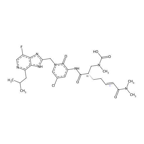 CC(C)Cc1ncc(F)c2nc(Cn3cc(Cl)cc(NC(=O)[C@@H](CC/C=C/C(=O)N(C)C)CN(C)C(=O)O)c3=O)[nH]c12